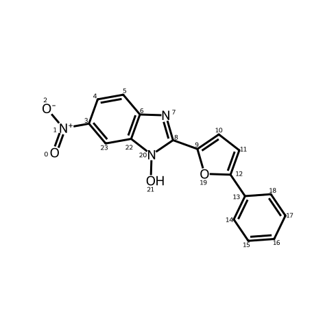 O=[N+]([O-])c1ccc2nc(-c3ccc(-c4ccccc4)o3)n(O)c2c1